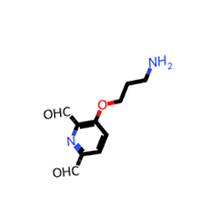 NCCCOc1ccc(C=O)nc1C=O